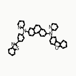 c1ccc(N(c2ccc(-c3nc4ccccc4s3)cc2)c2ccc3c(ccc4cc(N(c5ccc6oc7ccccc7c6c5)c5ccccn5)ccc43)c2)nc1